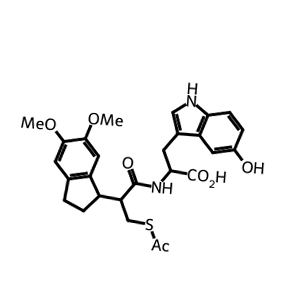 COc1cc2c(cc1OC)C(C(CSC(C)=O)C(=O)NC(Cc1c[nH]c3ccc(O)cc13)C(=O)O)CC2